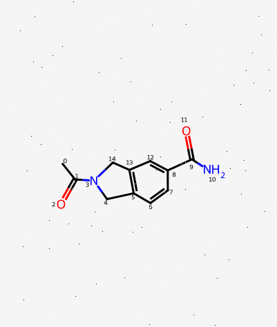 CC(=O)N1Cc2ccc(C(N)=O)cc2C1